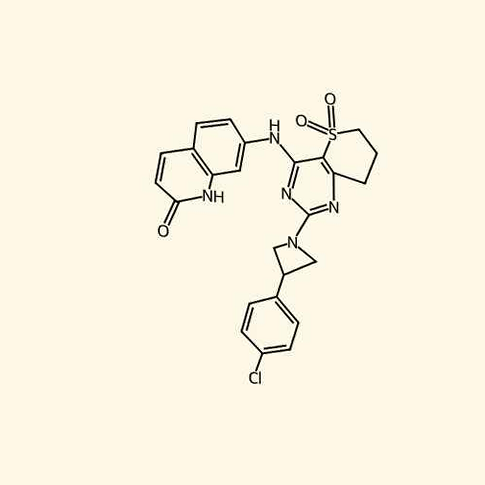 O=c1ccc2ccc(Nc3nc(N4CC(c5ccc(Cl)cc5)C4)nc4c3S(=O)(=O)CCC4)cc2[nH]1